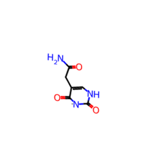 NC(=O)CC1=CNC(=O)[N]C1=O